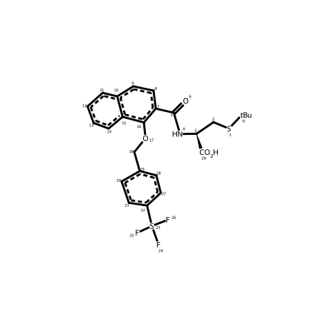 CC(C)(C)SC[C@H](NC(=O)c1ccc2ccccc2c1OCc1ccc(S(F)(F)F)cc1)C(=O)O